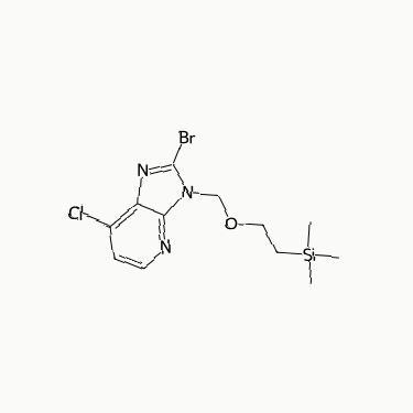 C[Si](C)(C)CCOCn1c(Br)nc2c(Cl)ccnc21